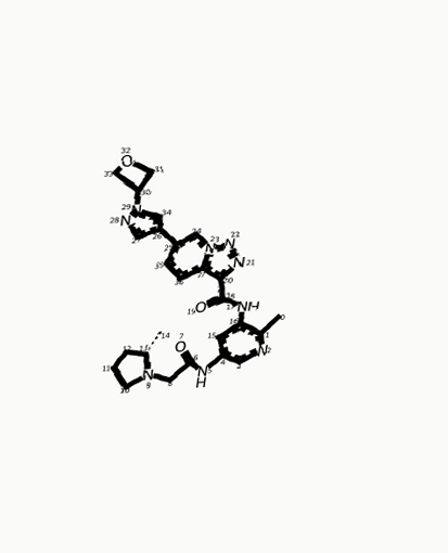 Cc1ncc(NC(=O)CN2CCC[C@@H]2C)cc1NC(=O)c1nnn2cc(-c3cnn(C4COC4)c3)ccc12